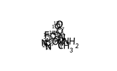 CN1C(=O)C(c2ccc3c(c2)CCO3)(c2ccc(F)c(-c3cncnc3)c2)N=C1N